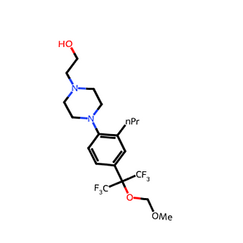 CCCc1cc(C(OCOC)(C(F)(F)F)C(F)(F)F)ccc1N1CCN(CCO)CC1